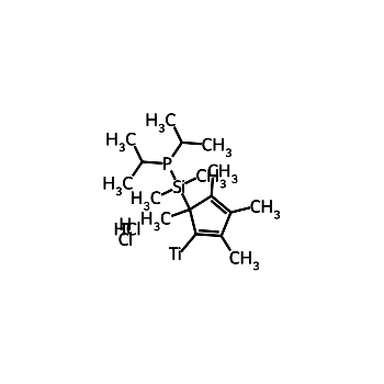 CC1=C(C)C(C)([Si](C)(C)P(C(C)C)C(C)C)[C]([Ti])=C1C.Cl.Cl